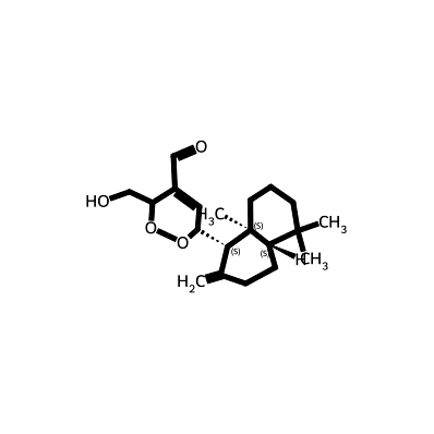 C=C1CC[C@H]2C(C)(C)CCC[C@]2(C)[C@H]1C1C=C(C=O)C(CO)OO1